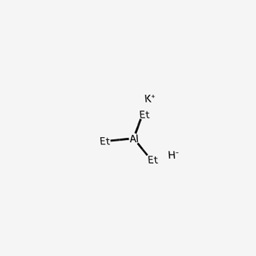 C[CH2][Al]([CH2]C)[CH2]C.[H-].[K+]